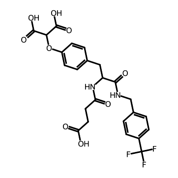 O=C(O)CCC(=O)NC(Cc1ccc(OC(C(=O)O)C(=O)O)cc1)C(=O)NCc1ccc(C(F)(F)F)cc1